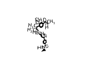 CNC(=O)c1ccc(C(C)[C@H](C)CNc2cc(-c3ccc(C(=O)NC4CC4)cc3)ncn2)c(OC)c1